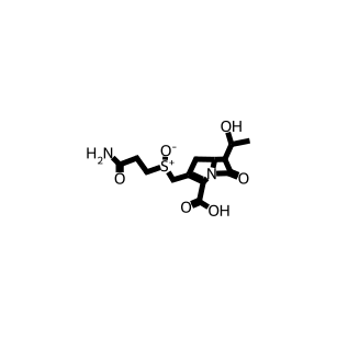 CC(O)C1C(=O)N2C(C(=O)O)=C(C[S+]([O-])CCC(N)=O)CC12